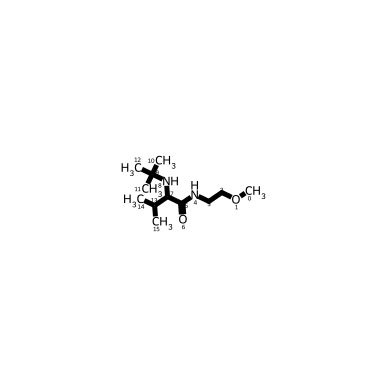 COCCNC(=O)C(NC(C)(C)C)C(C)C